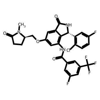 CN1C(=O)CC[C@@H]1COc1cc(NC(=O)c2cc(F)cc(C(F)(F)F)c2)c2c(c1)C(=O)N[C@@H]2c1cc(F)ccc1Cl